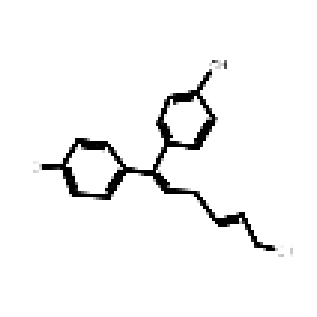 OCC=CCC=C(c1ccc(O)cc1)c1ccc(O)cc1